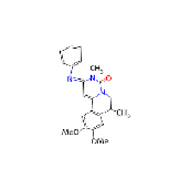 COc1cc2c(cc1OC)C(C)Cn1c-2c/c(=N/c2ccccc2)n(C)c1=O